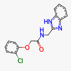 O=C(COc1ccccc1Cl)NCc1nc2ccccc2[nH]1